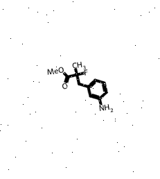 COC(=O)C(C)(F)Cc1cccc(N)c1